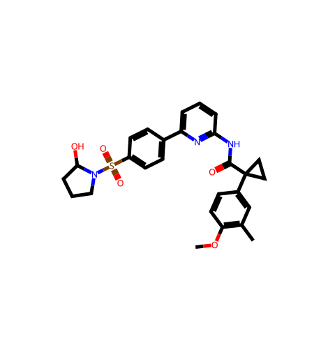 COc1ccc(C2(C(=O)Nc3cccc(-c4ccc(S(=O)(=O)N5CCCC5O)cc4)n3)CC2)cc1C